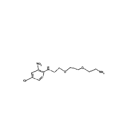 NCCOCCOCCNc1ccc(Cl)cc1[N+](=O)[O-]